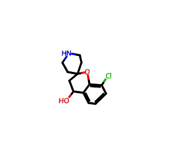 OC1CC2(CCNCC2)Oc2c(Cl)cccc21